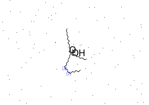 CCCCC/C=C\C/C=C\CCCCCCC(CCCCCCCC)(CCCCCCCCCCCC)C(=O)O